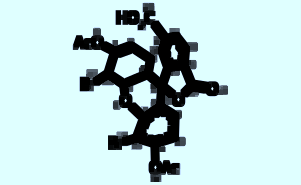 CC(=O)OC1=CCC2C(Oc3c(ccc(OC(C)=O)c3Br)C23OC(=O)c2ccc(C(=O)O)cc23)C1Br